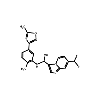 Cc1nc(-c2ccc(C)c(NC(O)c3cnc4cc(C(F)F)ccn34)c2)no1